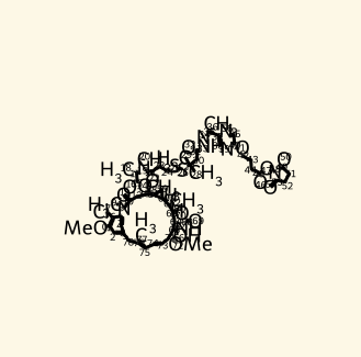 COc1cc2cc(c1Cl)N(C)C(=O)C[C@H](OC(=O)[C@H](C)N(C)C(=O)CCSSC(C)(C)CC(=O)N/N=C(/C)c1cnc(OCCCC(=O)ON3C(=O)CCC3=O)cn1)[C@@]1(C)C[C@H]1[C@H](C)[C@@H]1C[C@@](O)(NC(=O)O1)[C@H](OC)/C=C/C=C(\C)C2